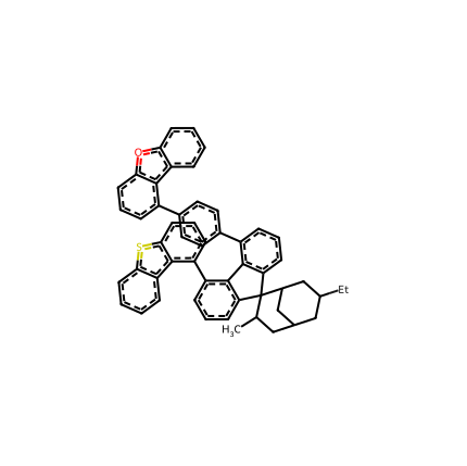 CCC1CC2CC(C)C3(c4cccc(-c5ccc(-c6cccc7oc8ccccc8c67)cc5)c4-c4c(-c5cccc6sc7ccccc7c56)cccc43)C(C1)C2